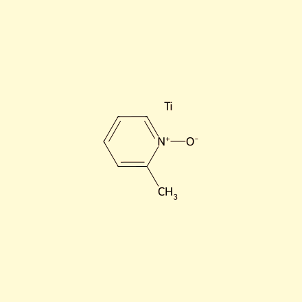 Cc1cccc[n+]1[O-].[Ti]